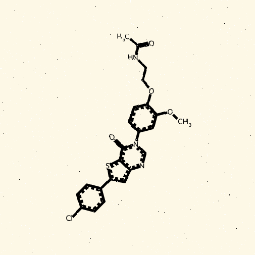 COc1cc(-n2cnc3cc(-c4ccc(Cl)cc4)sc3c2=O)ccc1OCCNC(C)=O